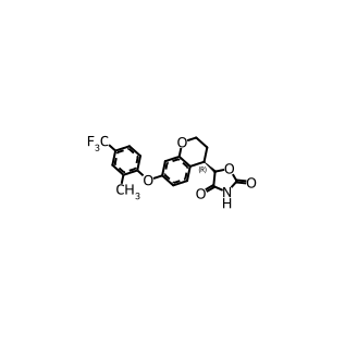 Cc1cc(C(F)(F)F)ccc1Oc1ccc2c(c1)OCC[C@H]2C1OC(=O)NC1=O